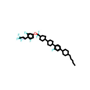 CCCCCC1CCC(c2ccc(C3CCC(C4CCC(C(F)(F)Oc5cc(F)c(/C=C/C(F)(F)F)c(F)c5)CC4)CC3)c(F)c2)CC1